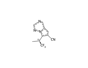 C[C@@H](c1c(C#N)cc2cncnn12)C(F)(F)F